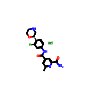 Cc1cc(C(=O)Nc2ccc([C@H]3CNCCO3)c(F)c2)cc(C(N)=O)n1.Cl